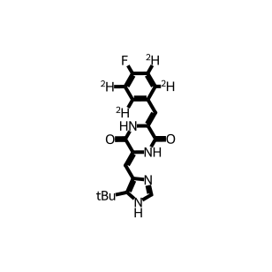 [2H]c1c([2H])c(/C=c2\[nH]c(=O)/c(=C/c3nc[nH]c3C(C)(C)C)[nH]c2=O)c([2H])c([2H])c1F